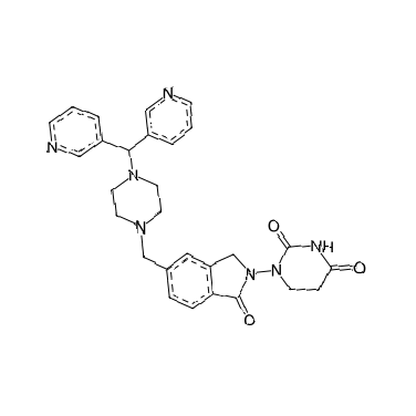 O=C1CCN(N2Cc3cc(CN4CCN(C(c5cccnc5)c5cccnc5)CC4)ccc3C2=O)C(=O)N1